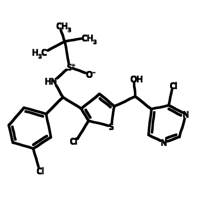 CC(C)(C)[S+]([O-])NC(c1cccc(Cl)c1)c1cc(C(O)c2cncnc2Cl)sc1Cl